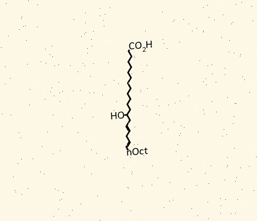 CCCCCCCCC=CCC=CCC(O)CCCCCCCCCCCCC(=O)O